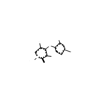 Cn1cc(N)c(Nc2ccc(Br)cc2F)c(Cl)c1=O